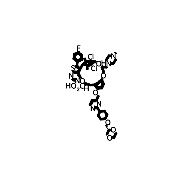 Cc1c(Cl)c2c(Cl)c(C)c1-c1c(-c3ccc(F)cc3)sc3ncnc(c13)O[C@@H](C(=O)O)Cc1cc(ccc1OCc1ccnc(C3CCC(OC[C@H]4COCCO4)CC3)n1)OC[C@@H](CN1CCN(C)CC1)O2